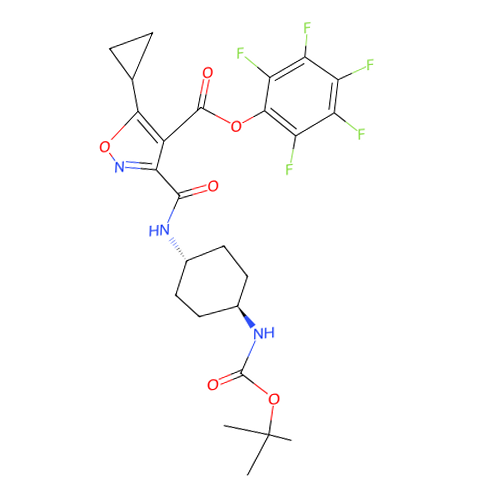 CC(C)(C)OC(=O)N[C@H]1CC[C@H](NC(=O)c2noc(C3CC3)c2C(=O)Oc2c(F)c(F)c(F)c(F)c2F)CC1